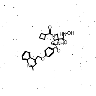 Cc1cc(COc2ccc(S(=O)(=O)NC3(C(=O)NO)CN(C(=O)C4CCC4)C3)cc2)c2ccccc2n1